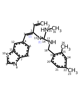 C=CC(=C/c1ccc2ncsc2c1)/N=C(\NC)NCc1ccc(C)cc1C